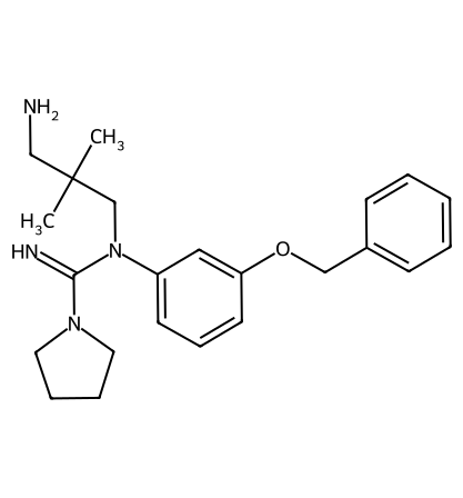 CC(C)(CN)CN(C(=N)N1CCCC1)c1cccc(OCc2ccccc2)c1